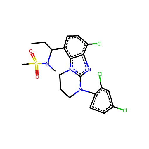 CCC(c1ccc(Cl)c2nc3n(c12)CCCN3c1ccc(Cl)cc1Cl)N(C)S(C)(=O)=O